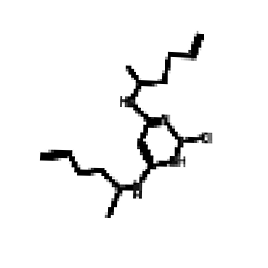 C=CCCC(C)NC1=CC(NC(C)CCC=C)=NN(Cl)N1